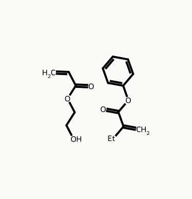 C=C(CC)C(=O)Oc1ccccc1.C=CC(=O)OCCO